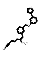 CCOC(=O)/C(=C/c1cccc(COc2cccc(-c3ccsc3)c2)c1)C/C=C/C#CC(C)(C)C